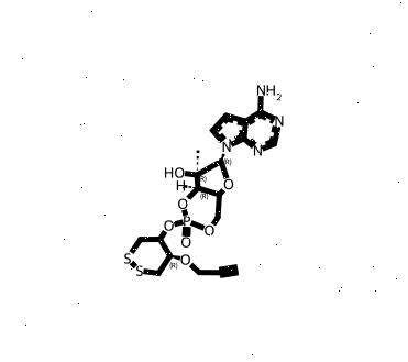 C#CCO[C@H]1CSSCC1OP1(=O)OCC2O[C@@H](n3ccc4c(N)ncnc43)[C@](C)(O)[C@@H]2O1